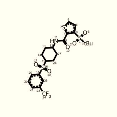 CC(C)(C)S(=O)(=O)c1ccsc1C(=O)NC1CCC(S(=O)(=O)c2cccc(C(F)(F)F)c2)CC1